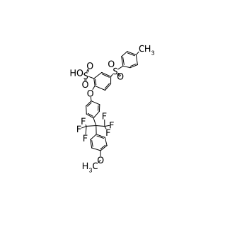 COc1ccc(C(c2ccc(Oc3ccc(S(=O)(=O)c4ccc(C)cc4)cc3S(=O)(=O)O)cc2)(C(F)(F)F)C(F)(F)F)cc1